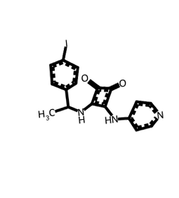 CC(Nc1c(Nc2ccncc2)c(=O)c1=O)c1ccc(I)cc1